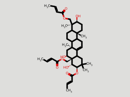 C/C=C/C(=O)OC[C@@]12C(CC(C)(C)[C@@H](OC(=O)/C=C/C)[C@@H]1O)C1=CCC3C(CCC4[C@]3(C)CC[C@H](O)[C@]4(C)COC(=O)/C=C/C)[C@]1(C)C[C@H]2O